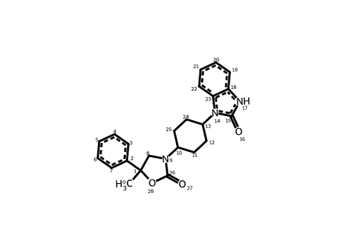 CC1(c2ccccc2)CN(C2CCC(n3c(=O)[nH]c4ccccc43)CC2)C(=O)O1